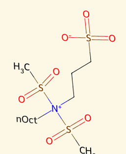 CCCCCCCC[N+](CCCS(=O)(=O)[O-])(S(C)(=O)=O)S(C)(=O)=O